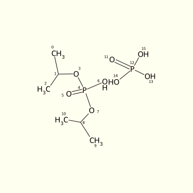 CC(C)OP(=O)(O)OC(C)C.O=P(O)(O)O